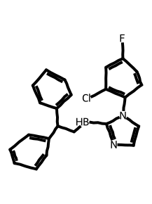 Fc1ccc(-n2ccnc2BCC(c2ccccc2)c2ccccc2)c(Cl)c1